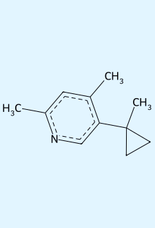 Cc1cc(C)c(C2(C)CC2)cn1